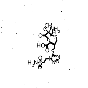 CO[C@@]1(N)C(=O)N2C(C(=O)O)=C(CSc3nnnn3CCS(N)(=O)=O)CS[C@@H]21